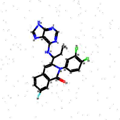 CCC(Nc1ncnc2[nH]cnc12)c1cc2ccc(F)cc2c(=O)n1-c1ccc(Cl)c(Cl)c1